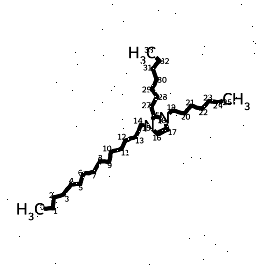 CCCCCCCCCCCCCCCN1C=CN(CCCCCCC)C1CCCCCCC